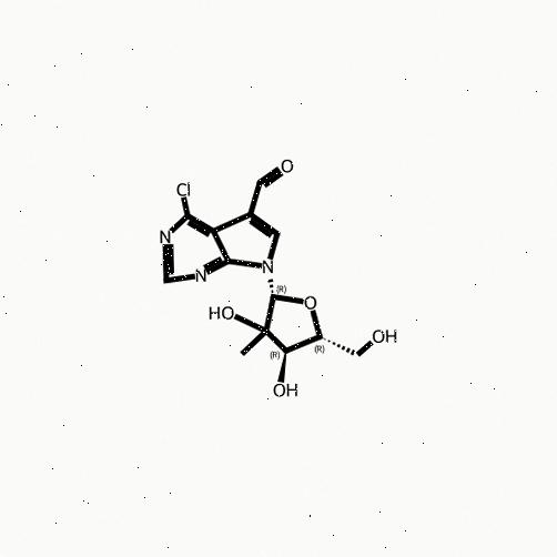 CC1(O)[C@H](O)[C@@H](CO)O[C@H]1n1cc(C=O)c2c(Cl)ncnc21